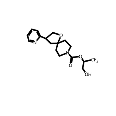 O=C(OC(CO)C(F)(F)F)N1CCC2(CC1)CC(c1ccccn1)CO2